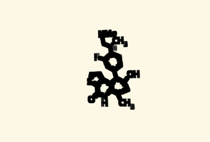 CNC[C@H](C)c1ccc(-c2c(O)cc(C)c3[nH]c(=O)c4sccc4c23)cc1F